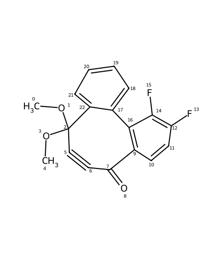 COC1(OC)C#CC(=O)c2ccc(F)c(F)c2-c2ccccc21